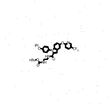 CCCCOC(=O)NCCNC(=O)c1cc2cc(Oc3ccc(C(F)(F)F)cn3)ccc2n1-c1ccc(OC(C)C)cc1